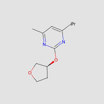 Cc1cc(C(C)C)nc(O[C@H]2CCOC2)n1